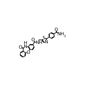 NC(=O)c1ccc(-c2ncc(CNC(=O)c3ccc4c(c3)NC(=O)c3ccccc3O4)s2)cc1